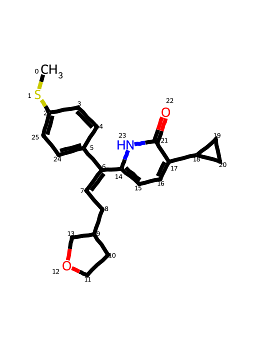 CSc1ccc(C(=CCC2CCOC2)c2ccc(C3CC3)c(=O)[nH]2)cc1